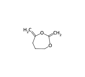 C=C1CCCOC(=C)O1